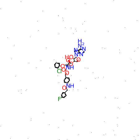 Nc1ncnc2c1ncn2C1OCC(OC(=O)[C@H](COc2ccccc2Cl)NC(=O)OCc2ccc(NC(=O)Cc3ccc(F)cc3)cc2)C1O